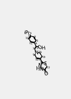 CC(C)c1ccc(C(O)CN2CC=C(C3=NNC(=O)CS3)CC2)cc1